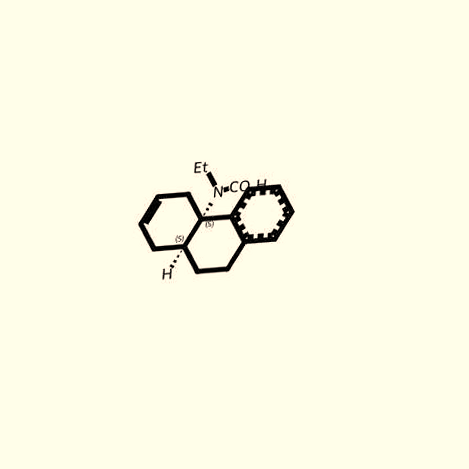 CCN(C(=O)O)[C@@]12CC=CC[C@@H]1CCc1ccccc12